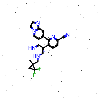 CC1(CN/C=C(\C=N)c2ccc(C#N)nc2-c2ccn3ccnc3c2)CC1(F)F